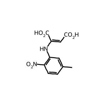 Cc1ccc([N+](=O)[O-])c(NC(=CC(=O)O)C(=O)O)c1